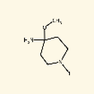 COC1(N)CCN(I)CC1